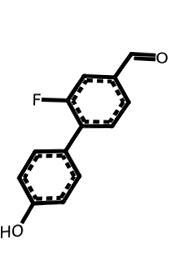 O=Cc1ccc(-c2ccc(O)cc2)c(F)c1